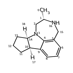 C[C@H]1CN2c3c(cccc3[C@H]3CCC[C@H]32)CN1